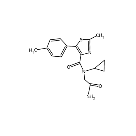 Cc1ccc(-c2sc(C)nc2C(=O)N(CC(N)=O)C2CC2)cc1